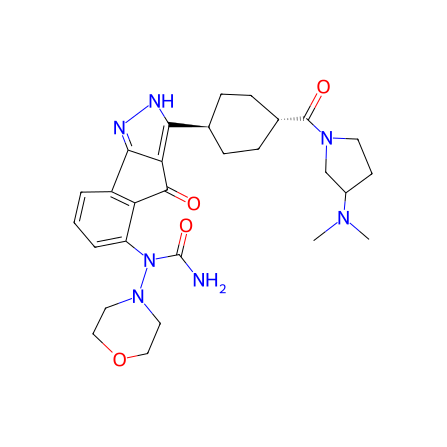 CN(C)C1CCN(C(=O)[C@H]2CC[C@H](c3[nH]nc4c3C(=O)c3c-4cccc3N(C(N)=O)N3CCOCC3)CC2)C1